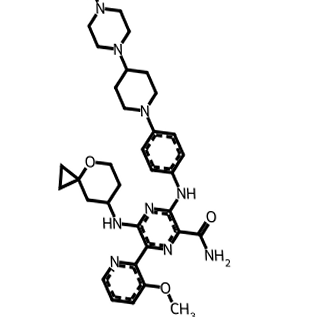 COc1cccnc1-c1nc(C(N)=O)c(Nc2ccc(N3CCC(N4CCN(C)CC4)CC3)cc2)nc1NC1CCOC2(CC2)C1